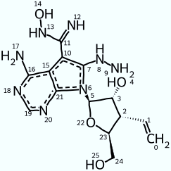 C=C[C@H]1[C@@H](O)[C@H](n2c(NN)c(C(=N)NO)c3c(N)ncnc32)O[C@@H]1CO